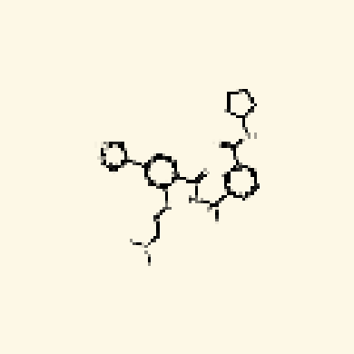 C[C@@H](NC(=O)c1ccc(-c2cn[nH]c2)cc1OCCN(C)C)c1cccc(C(=O)NC2CCCC2)c1